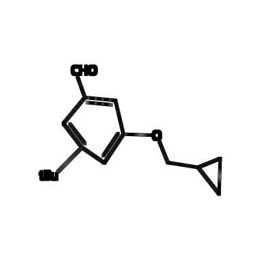 CC(C)(C)c1cc(C=O)cc(OCC2CC2)c1